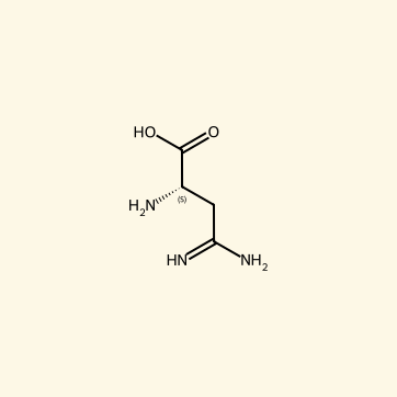 N=C(N)C[C@H](N)C(=O)O